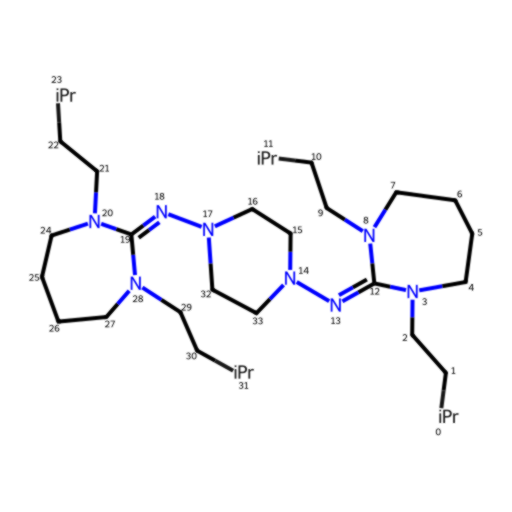 CC(C)CCN1CCCCN(CCC(C)C)C1=NN1CCN(N=C2N(CCC(C)C)CCCCN2CCC(C)C)CC1